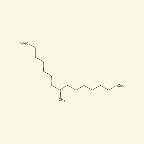 C=C(CCCCCCCCCCCCCCCC)CCCCCCCCCCCCCCCC